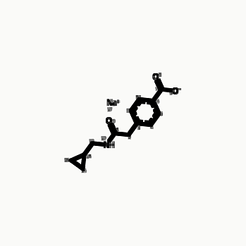 O=C(Cc1ccc(C(=O)[O-])cc1)NCC1CC1.[Na+]